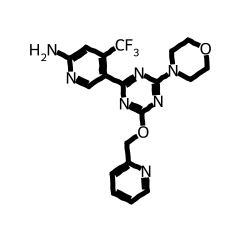 Nc1cc(C(F)(F)F)c(-c2nc(OCc3ccccn3)nc(N3CCOCC3)n2)cn1